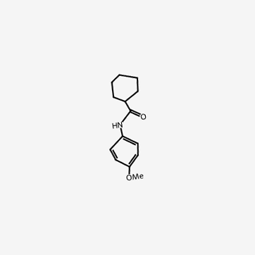 COc1ccc(NC(=O)C2CCCCC2)cc1